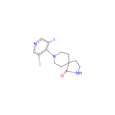 O=C1NCCC12CCN(c1c(I)cncc1I)CC2